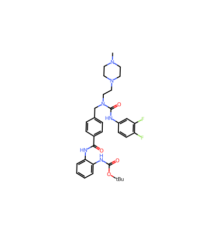 CN1CCN(CCN(Cc2ccc(C(=O)Nc3ccccc3NC(=O)OC(C)(C)C)cc2)C(=O)Nc2ccc(F)c(F)c2)CC1